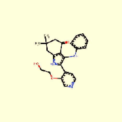 CC1(C)CC(=O)c2c([nH]c(-c3ccncc3OCCO)c2Nc2ccccc2)C1